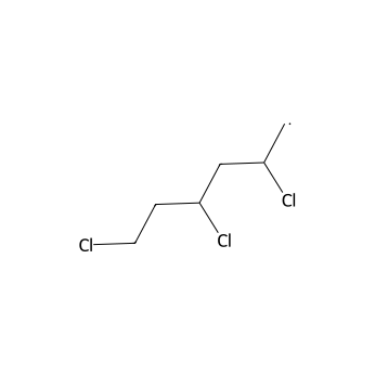 [CH2]C(Cl)CC(Cl)CCCl